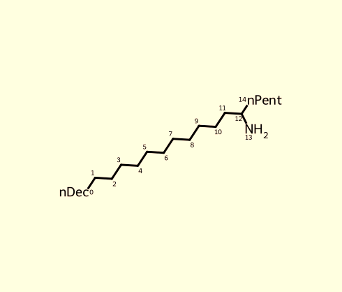 CCCCCCCCCCCCCCCCCCCCCC(N)CCCCC